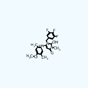 COc1cc(C)c(NC2=CC(=O)N(C)C(O)N2Cc2cc(F)c(F)c(F)c2)cc1C